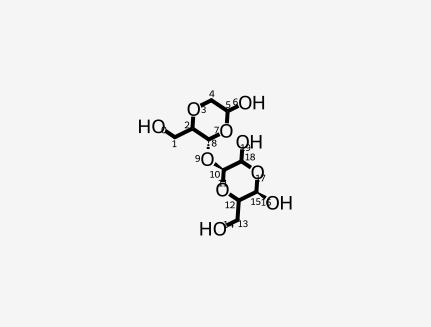 OCC1OCC(O)O[C@@H]1O[C@@H]1OC(CO)[C@H](O)OC1O